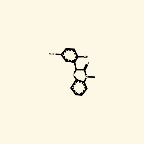 COc1ccc(O)c(C2Sc3ccccc3N(C)C2=O)c1